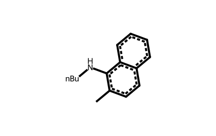 CCCCNc1c(C)ccc2ccccc12